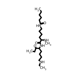 CCCCCC(=O)NCCCCC(NC)C(=O)NC(CCCCNCC)C(=O)CC